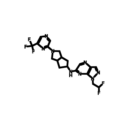 FC(F)Cn1ncc2ncc(NC3CC4CN(c5cncc(C(F)(F)F)n5)CC4C3)nc21